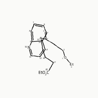 CCOCC1N=C2C=CC=C3N=CC=CC32N1CCC(=O)OCC